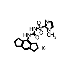 Cn1ccnc1S(=O)(=O)NC(=O)Nc1c2c(cc3c1CCC3)CCC2.[K]